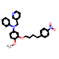 COc1ccc(N(Cc2cccnc2)c2ccccc2)cc1OCCCCc1ccc([N+](=O)[O-])cc1